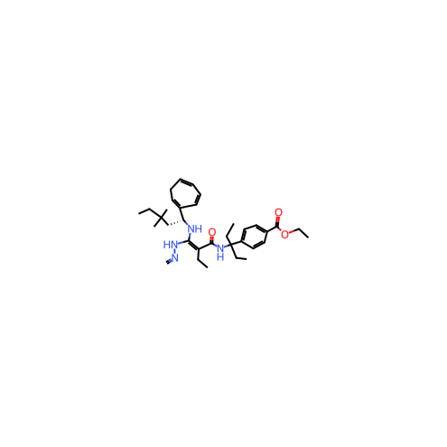 C=NN/C(N[C@H](CC(C)(C)CC)C1=CCC=CC=C1)=C(\CC)C(=O)NC(CC)(CC)c1ccc(C(=O)OCC)cc1